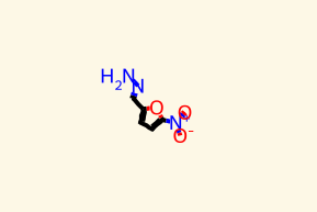 NN=Cc1ccc([N+](=O)[O-])o1